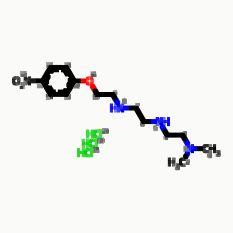 CN(C)CCNCCNCCOc1ccc([N+](=O)[O-])cc1.Cl.Cl.Cl